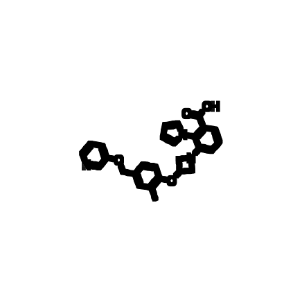 Cc1cc(COc2cccnc2)ccc1OC1CN(c2cccc(C(=O)O)c2-n2cccc2)C1